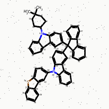 CC1(C)CCC(n2c3ccccc3c3cc(C4(c5ccc6c(c5)c5ccccc5n6-c5ccc6sc7ccccc7c6c5)c5ccccc5-c5ccccc54)ccc32)CC1